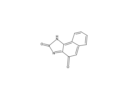 O=C1N=C2C(=O)C=c3ccccc3=C2N1